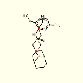 COc1ccc(C)cc1NC(=O)OC1CC2CCCC(C1)N2CCCCCCN